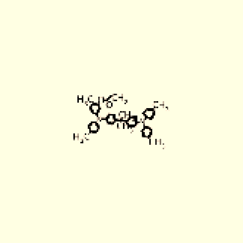 C=CC(=O)Oc1cc(N(c2ccc(C)cc2)c2ccc(C(C)(C)c3ccc(N(c4ccc(C)cc4)c4ccc(C)cc4)cc3)cc2)ccc1C